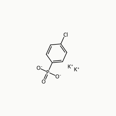 O=P([O-])([O-])c1ccc(Cl)cc1.[K+].[K+]